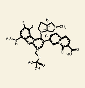 CNc1cc(F)c(F)c2c3c(N4CC[C@H]5CN(C)C[C@H]54)c(-c4ccc5ccc(C(=O)O)c(=O)n5c4)cn(COP(=O)(O)O)c-3nc12